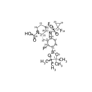 CC1(C)OB(c2cccc(C[C@H]3[C@@H](NS(=O)(=O)C4(F)CC4)[C@@H](F)CCN3C(=O)O)c2F)OC1(C)C